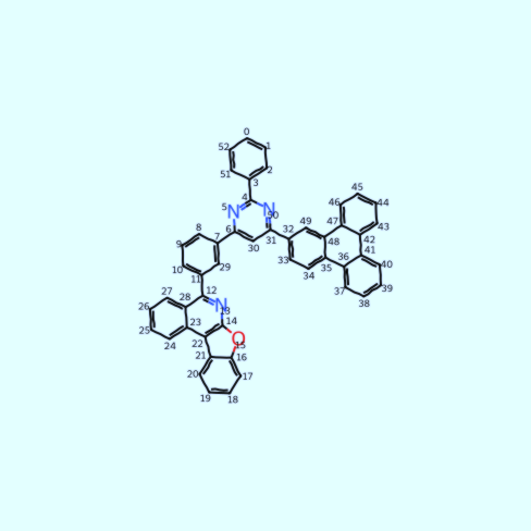 c1ccc(-c2nc(-c3cccc(-c4nc5oc6ccccc6c5c5ccccc45)c3)cc(-c3ccc4c5ccccc5c5ccccc5c4c3)n2)cc1